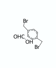 BrCc1ccc(CBr)cc1.O=CO